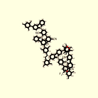 Cc1cc(C)c(-c2ccc3c(c2)c2ccccc2n3-c2ccc(-c3cc(C#N)cc(C(F)(F)F)c3)c(-n3c4ccccc4c4cc(-c5c(C)cc(CCc6cc(C)cc(C)c6-c6ccc7c8ccc(-c9c(C)cc(C)cc9C)cc8n(-c8ccc(-c9cc(C#N)cc(C(F)(F)F)c9)c(-n9c%10cc(-c%11c(C)cc(C)cc%11C)ccc%10c%10ccc(-c%11c(C)cc(C)cc%11C)cc%109)c8C#N)c7c6)cc5C)ccc43)c2C#N)c(C)c1